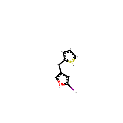 Ic1cc(Cc2cccs2)co1